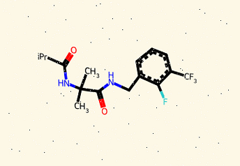 CC(C)C(=O)NC(C)(C)C(=O)NCc1cccc(C(F)(F)F)c1F